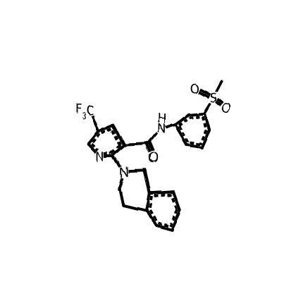 CS(=O)(=O)c1cccc(NC(=O)c2cc(C(F)(F)F)cnc2N2CCc3ccccc3C2)c1